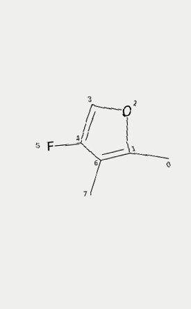 Cc1occ(F)c1C